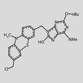 CCCCOc1nc(NC)c2nc(O)n(Cc3ccc4c(c3)Sc3cc(CCl)ccc3N4C)c2n1